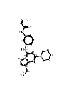 C=CC(=O)Nc1cccc(Nc2cc(N3CCCCC3)nc3c(CC)cnn23)c1